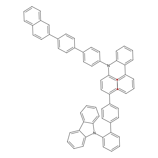 c1ccc(-c2ccccc2N(c2ccc(-c3ccc(-c4ccc5ccccc5c4)cc3)cc2)c2ccc(-c3ccc(-c4ccccc4-n4c5ccccc5c5ccccc54)cc3)cc2)cc1